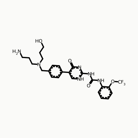 NCCCN(CCCO)Cc1ccc(-c2c[nH]c(NC(=O)Nc3ccccc3OC(F)(F)F)nc2=O)cc1